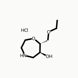 CCOC[C@H]1OCCNC[C@@H]1O.Cl